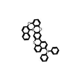 c1ccc(N(c2ccccc2)c2ccc3c4c(cccc24)Sc2cc4c(cc2-3)Oc2cccc3c2B4c2c(ccc4ccccc24)O3)cc1